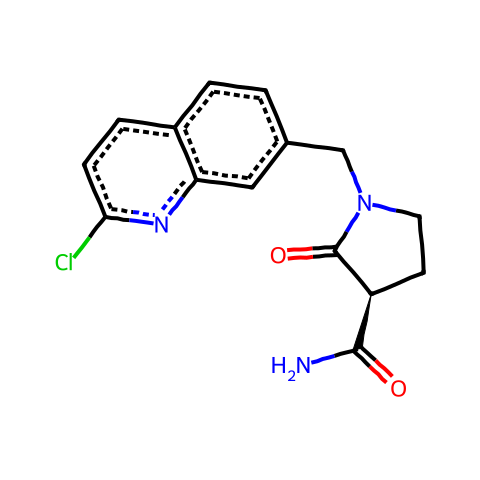 NC(=O)[C@@H]1CCN(Cc2ccc3ccc(Cl)nc3c2)C1=O